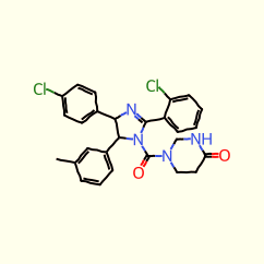 Cc1cccc(C2C(c3ccc(Cl)cc3)N=C(c3ccccc3Cl)N2C(=O)N2CCC(=O)NC2)c1